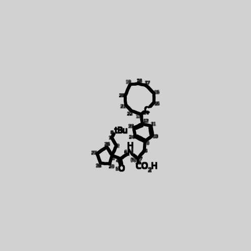 CC(C)(C)CCC1(C(=O)N[C@@H](Cc2ccc(C3CCCCCCCCC3)cc2)C(=O)O)CCCC1